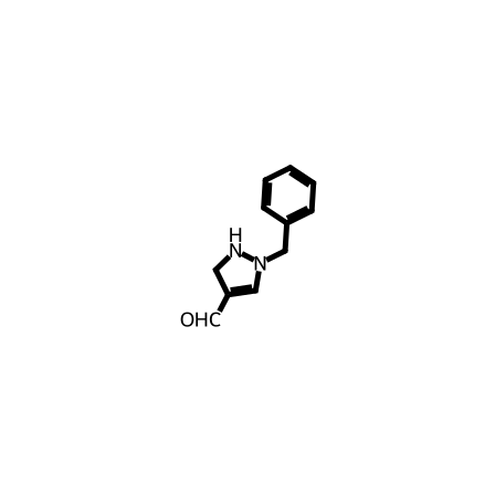 O=CC1=CN(Cc2ccccc2)NC1